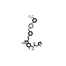 Cc1cc2[nH]nc(C=Cc3cccc(CN4CCN(c5cccc(C(F)(F)F)c5)CC4)c3)c2cc1NC(=O)Cc1cccs1